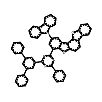 c1ccc(-c2cc(-c3ccccc3)cc(-c3nc(-c4ccccc4)nc(-c4cc(-n5c6ccccc6c6ccccc65)cc5c4sc4ccc6c7ccccc7oc6c45)n3)c2)cc1